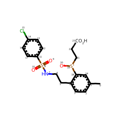 Cc1ccc(CCNS(=O)(=O)c2ccc(Cl)cc2)c([S+]([O-])CCC(=O)O)c1